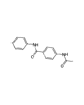 CC(=O)Nc1ccc(C(=O)Nc2cc[c]cc2)cc1